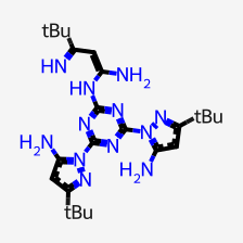 CC(C)(C)C(=N)/C=C(/N)Nc1nc(-n2nc(C(C)(C)C)cc2N)nc(-n2nc(C(C)(C)C)cc2N)n1